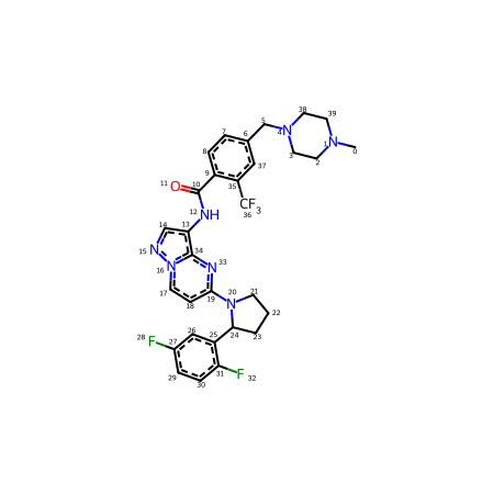 CN1CCN(Cc2ccc(C(=O)Nc3cnn4ccc(N5CCCC5c5cc(F)ccc5F)nc34)c(C(F)(F)F)c2)CC1